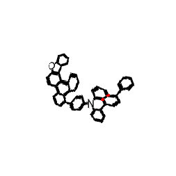 c1ccc(-c2ccc(-c3ccccc3N(c3ccccc3)c3ccc(-c4cccc5c6ccc7oc8ccccc8c7c6c6ccccc6c45)cc3)cc2)cc1